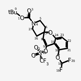 CC(C)(C)OC(=O)N1CCC2(C=C(OS(=O)(=O)C(F)(F)F)c3c(OC(F)F)cccc3O2)CC1